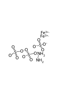 NN.O=S(=O)([O-])[O-].O=S(=O)([O-])[O-].O=S(=O)([O-])[O-].[Fe+3].[Fe+3]